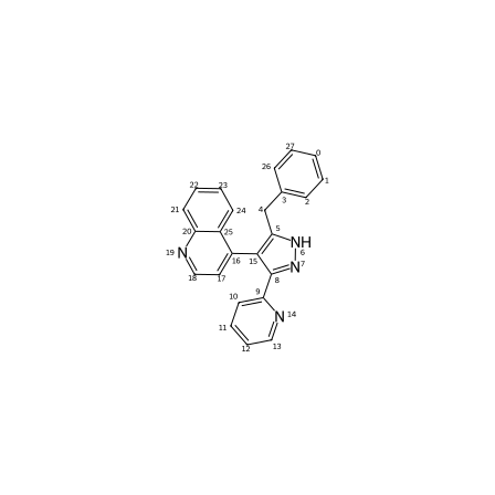 c1ccc(Cc2[nH]nc(-c3ccccn3)c2-c2ccnc3ccccc23)cc1